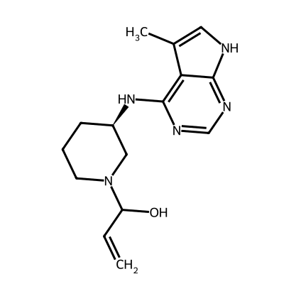 C=CC(O)N1CCC[C@@H](Nc2ncnc3[nH]cc(C)c23)C1